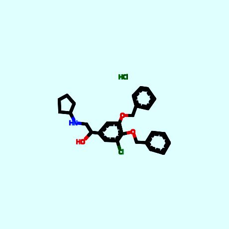 Cl.OC(CNC1CCCC1)c1cc(Cl)c(OCc2ccccc2)c(OCc2ccccc2)c1